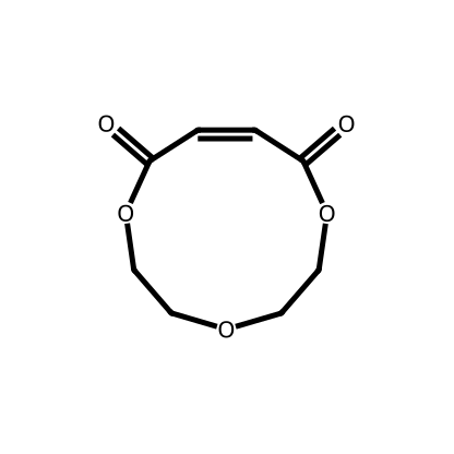 O=C1/C=C\C(=O)OCCOCCO1